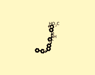 CN1c2ccc(OCNc3ccc[n+](Cc4ccc5cc(C[n+]6ccc(-c7ccccc7)cc6)ccc5c4)c3)cc2CCC1C(=O)O